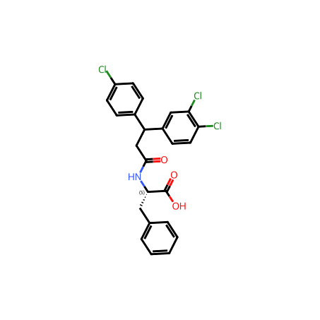 O=C(CC(c1ccc(Cl)cc1)c1ccc(Cl)c(Cl)c1)N[C@@H](Cc1ccccc1)C(=O)O